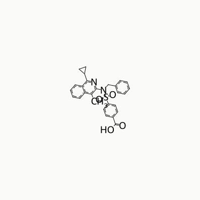 Cc1c(N(Cc2ccccc2)S(=O)(=O)c2ccc(C(=O)O)cc2)nc(C2CC2)c2ccccc12